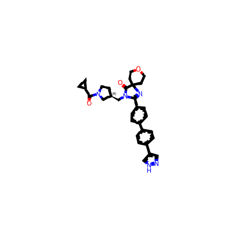 O=C(C1CC1)N1CC[C@@H](CN2C(=O)C3(CCOCC3)N=C2c2ccc(-c3ccc(-c4cn[nH]c4)cc3)cc2)C1